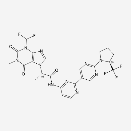 C[C@@H](C(=O)Nc1ccnc(-c2cnc(N3CCC[C@H]3C(F)(F)F)nc2)n1)n1cnc2c1c(=O)n(C)c(=O)n2C(F)F